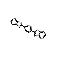 c1ccc2sc(-c3ccc(-c4nc5ccccc5s4)cc3)nc2c1